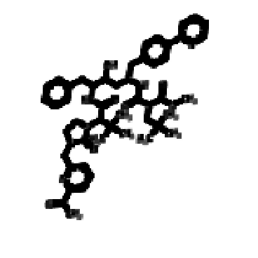 COC(=O)N(CC(C)(C)C)C(=O)NN(Cc1ccc(-c2ccccn2)cc1)CC(O)C(Cc1ccccc1)NC(=O)C(N1CCN(Cc2cccc(C(C)=O)n2)C1=O)C(C)(C)C